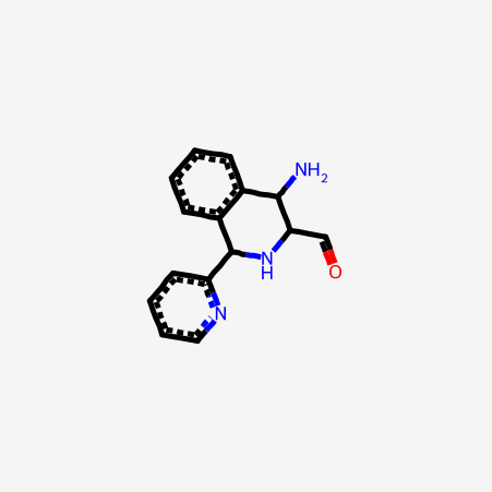 NC1c2ccccc2C(c2ccccn2)NC1C=O